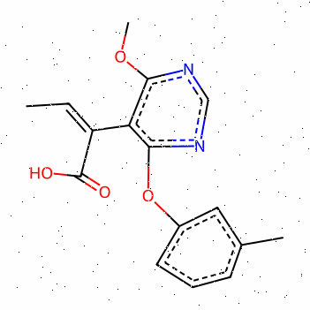 CC=C(C(=O)O)c1c(OC)ncnc1Oc1cccc(C)c1